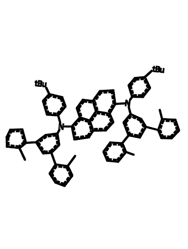 Cc1ccccc1-c1cc(-c2ccccc2C)cc(N(c2ccc(C(C)(C)C)cc2)c2ccc3ccc4c(N(c5ccc(C(C)(C)C)cc5)c5cc(-c6ccccc6C)cc(-c6ccccc6C)c5)ccc5ccc2c3c54)c1